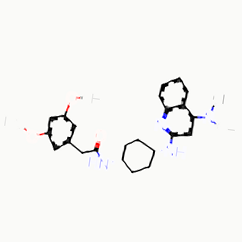 COc1cc(CC(=O)N[C@H]2CC[C@@H](Nc3cc(N(C)C)c4ccccc4n3)CC2)cc(OC)c1